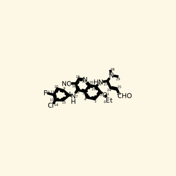 CCOc1ccc2c(Nc3ccc(F)c(Cl)c3)c(C#N)cnc2c1NC(C=CC=O)N(C)C